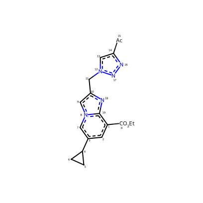 CCOC(=O)c1cc(C2CC2)cn2cc(Cn3cc(C(C)=O)nn3)nc12